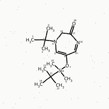 CC(C)(C)N1C=C(O[Si](C)(C)C(C)(C)C)C=NC(=O)C1